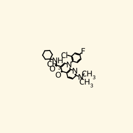 CN(C)c1ccc2c(=O)c(C(=O)NC3(C)CCCCC3)cn(-c3ccc(F)cc3Cl)c2n1